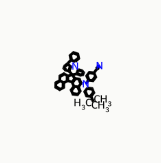 CC(C)(C)c1ccc(N(c2ccc(C#N)cc2)c2cc3c(c4ccccc24)-c2c(ccc4ccccc24)C32c3ccccc3-n3c4ccccc4c4cccc2c43)cc1